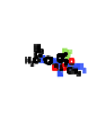 CCN(CC)c1ccc(-n2c(=O)n(CC#N)c3c(CC(=O)N(C)C(N)=O)c(C(F)(F)F)ccc32)cc1